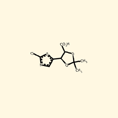 CC1(C)OC(C(=O)O)C(c2cnc(Cl)s2)O1